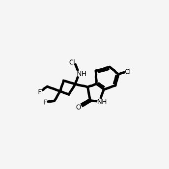 O=C1Nc2cc(Cl)ccc2C1C1(NCl)CC(CF)(CF)C1